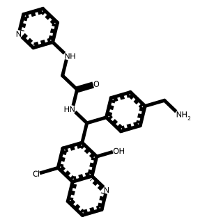 NCc1ccc(C(NC(=O)CNc2cccnc2)c2cc(Cl)c3cccnc3c2O)cc1